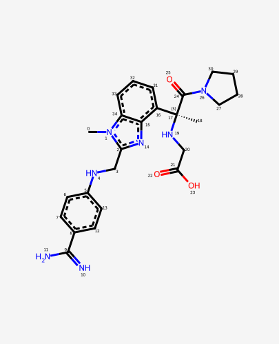 Cn1c(CNc2ccc(C(=N)N)cc2)nc2c([C@](C)(NCC(=O)O)C(=O)N3CCCC3)cccc21